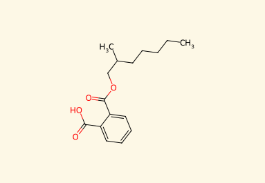 CCCCCC(C)COC(=O)c1ccccc1C(=O)O